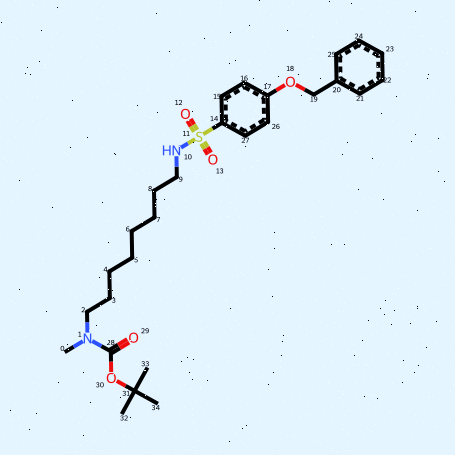 CN(CCCCCCCCNS(=O)(=O)c1ccc(OCc2ccccc2)cc1)C(=O)OC(C)(C)C